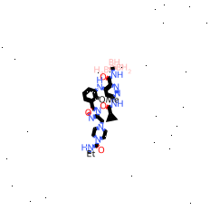 BC(B)(B)NC(=O)c1nnc(NC(=O)C2CC2)cc1Nc1cccc(-c2nc(CN3CCN(C(=O)NCC)CC3)no2)c1OC